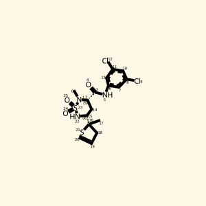 CN1[C@H](C(=O)Nc2cc(Cl)cc(Cl)c2)C[C@H](C2(C)CC=CS2)NS1(=O)=O